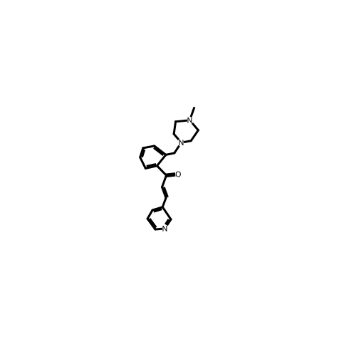 CN1CCN(Cc2ccccc2C(=O)C=Cc2cccnc2)CC1